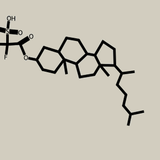 CC(C)CCCC(C)C1CCC2C3CCC4CC(OC(=O)C(F)(F)S(=O)(=O)O)CCC4(C)C3CCC12C